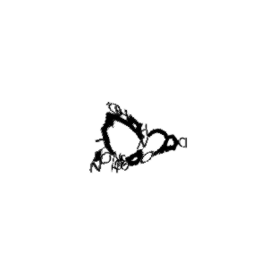 CO[C@H]1/C=C/C[C@H](C)[C@@H](CC#N)C(=O)NS(=O)(=O)c2ccc3c(c2)N(CCCCC2C=C(Cl)C=CC2(C)CO3)C[C@@H]2CC[C@H]21